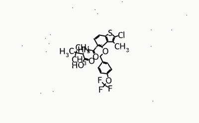 Cc1c(Cl)sc2ccc(C(=O)N[C@H](C(=O)O)C(C)(C)C)c(OCc3ccc(OC(F)(F)F)cc3)c12